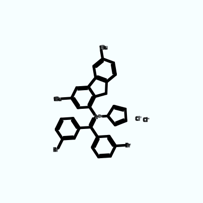 CC(C)(C)c1ccc2c(c1)-c1cc(C(C)(C)C)c[c]([Zr+2](=[C](c3cccc(Br)c3)c3cccc(Br)c3)[CH]3C=CC=C3)c1C2.[Cl-].[Cl-]